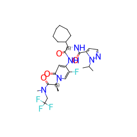 CC(C)n1nccc1C(=O)N[C@H](C(=O)Nc1cc(=O)n([C@@H](C)C(=O)N(C)CC(F)(F)F)cc1F)C1CCCCCC1